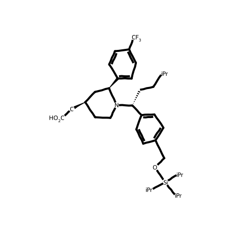 CC(C)CC[C@H](c1ccc(CO[Si](C(C)C)(C(C)C)C(C)C)cc1)N1CC[C@@H](CC(=O)O)C[C@H]1c1ccc(C(F)(F)F)cc1